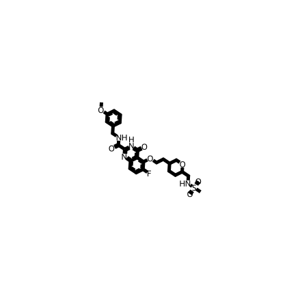 COc1cccc(CNC(=O)c2nc3ccc(F)c(OCCC4CCC(CNS(C)(=O)=O)OC4)c3c(=O)[nH]2)c1